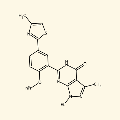 CCCOc1ccc(-c2nc(C)cs2)cc1-c1nc2c(c(C)nn2CC)c(=O)[nH]1